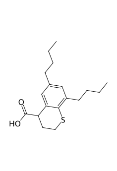 CCCCc1cc(CCCC)c2c(c1)C(C(=O)O)CCS2